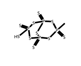 CP1(=S)SP2(=S)SP(=S)(S)SP(=S)(S1)S2